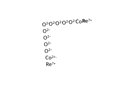 [Co+2].[Co+2].[O-2].[O-2].[O-2].[O-2].[O-2].[O-2].[O-2].[O-2].[O-2].[Re+7].[Re+7]